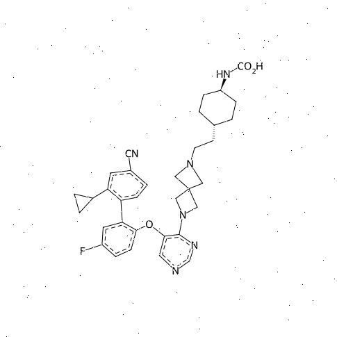 N#Cc1ccc(-c2cc(F)ccc2Oc2cncnc2N2CC3(CN(CC[C@H]4CC[C@H](NC(=O)O)CC4)C3)C2)c(C2CC2)c1